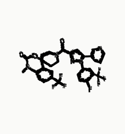 CN1C(=O)OC2(CCN(C(=O)c3cc(-c4cccnc4)n(-c4ccc(F)c(C(F)(F)F)c4)n3)CC2)c2cc(C(F)(F)F)ccc21